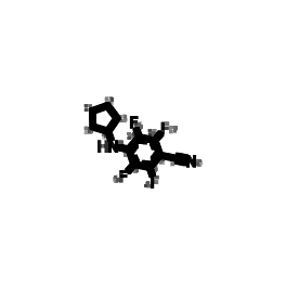 N#Cc1c(F)c(F)c(NC2CCCC2)c(F)c1F